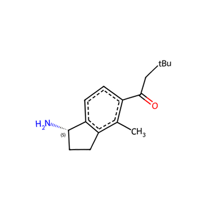 Cc1c(C(=O)CC(C)(C)C)ccc2c1CC[C@@H]2N